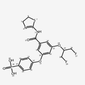 O=C(NC1=NCCS1)c1cc(Oc2ccc(P(=O)(O)O)cc2)cc(OC(CF)CF)c1